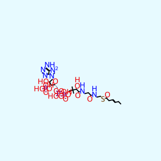 CC/C=C/CC(=O)SCCNC(=O)CCNC(=O)[C@H](O)C(C)(C)COP(=O)(O)OP(=O)(O)OC[C@H]1O[C@@H](n2cnc3c(N)ncnc32)[C@H](O)[C@@H]1OP(=O)(O)O